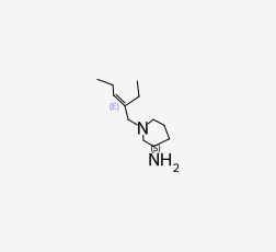 CC/C=C(\CC)CN1CCC[C@H](N)C1